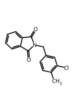 Cc1ccc(CN2C(=O)c3ccccc3C2=O)cc1Cl